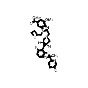 COC(=O)c1cc(OC)c2nc(CN3C[C@@H]4C(c5c(F)ccc6c5OC(C)(c5ccc(Cl)cn5)O6)[C@@H]4C3)n(CC3CCO3)c2c1